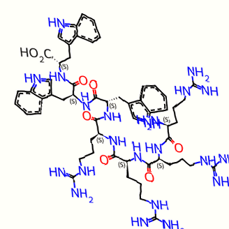 N=C(N)NCCC[C@H](NC(=O)[C@H](CCCNC(=N)N)NC(=O)[C@H](CCCNC(=N)N)NC(=O)[C@@H](N)CCCNC(=N)N)C(=O)N[C@@H](Cc1c[nH]c2ccccc12)C(=O)N[C@@H](Cc1c[nH]c2ccccc12)C(=O)N[C@@H](Cc1c[nH]c2ccccc12)C(=O)O